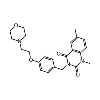 Cc1ccc2c(c1)c(=O)n(Cc1ccc(OCCN3CCOCC3)cc1)c(=O)n2C